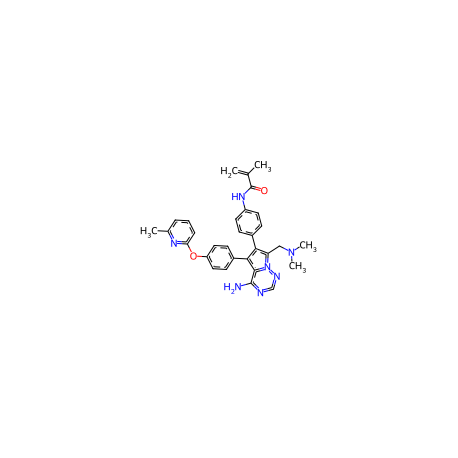 C=C(C)C(=O)Nc1ccc(-c2c(-c3ccc(Oc4cccc(C)n4)cc3)c3c(N)ncnn3c2CN(C)C)cc1